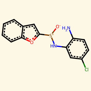 Nc1ccc(Cl)cc1N[S+]([O-])c1cc2ccccc2o1